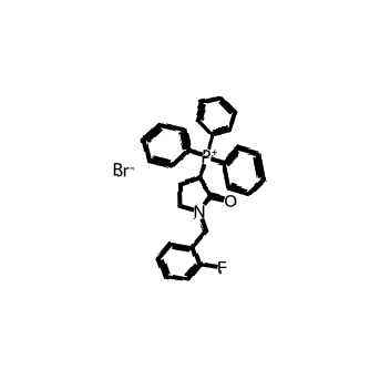 O=C1C([P+](c2ccccc2)(c2ccccc2)c2ccccc2)CCN1Cc1ccccc1F.[Br-]